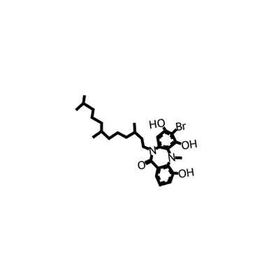 CC(C)CCCC(C)CCCC(C)CCN1C(=O)c2cccc(O)c2N(C)c2c1cc(O)c(Br)c2O